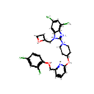 Fc1cc(Cl)ccc1OCc1cccc(OC2CCN(c3nc4c(F)cc(Br)cc4n3CC3CCO3)CC2)n1